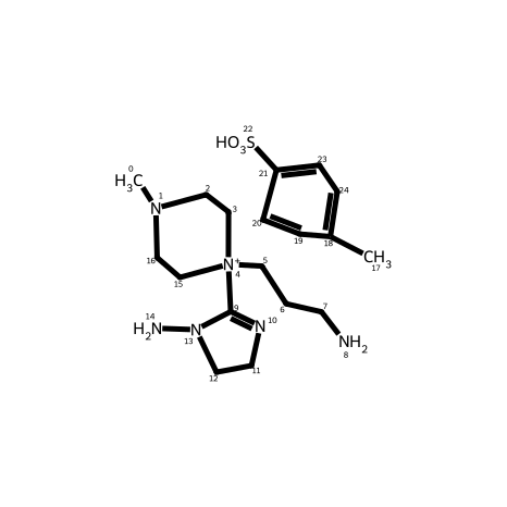 CN1CC[N+](CCCN)(C2=NCCN2N)CC1.Cc1ccc(S(=O)(=O)O)cc1